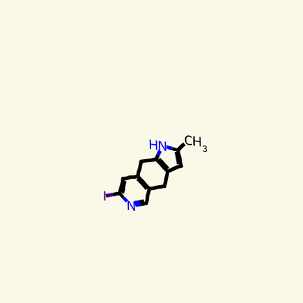 Cc1cc2c([nH]1)Cc1cc(I)ncc1C2